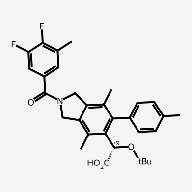 Cc1ccc(-c2c(C)c3c(c(C)c2[C@H](OC(C)(C)C)C(=O)O)CN(C(=O)c2cc(C)c(F)c(F)c2)C3)cc1